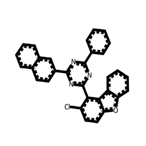 Clc1ccc2oc3ccccc3c2c1-c1nc(-c2ccccc2)nc(-c2ccc3ccccc3c2)n1